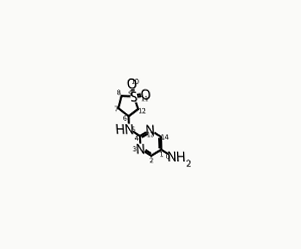 Nc1cnc(NC2CCS(=O)(=O)C2)nc1